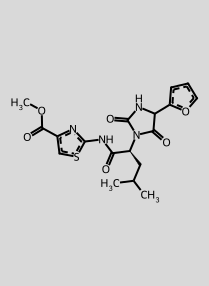 COC(=O)c1csc(NC(=O)[C@H](CC(C)C)N2C(=O)NC(c3ccco3)C2=O)n1